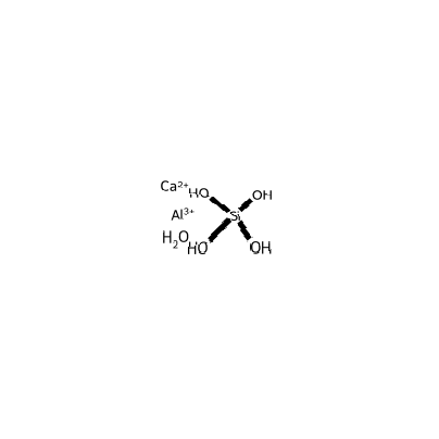 O.O[Si](O)(O)O.[Al+3].[Ca+2]